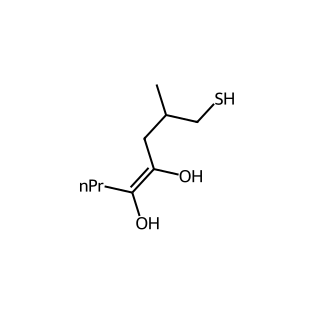 CCC/C(O)=C(/O)CC(C)CS